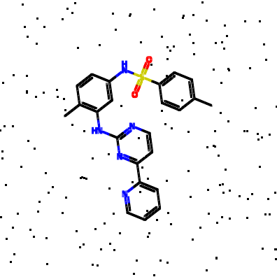 Cc1ccc(S(=O)(=O)Nc2ccc(C)c(Nc3nccc(-c4ccccn4)n3)c2)cc1